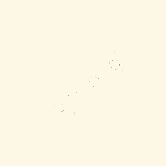 CC(C)C1=CC[C@H](C)C[C@@H]1OC(=O)N1CCC(C(=O)N[C@@H](CC(=O)O)C(=O)COc2c(F)c(F)cc(F)c2F)CC1